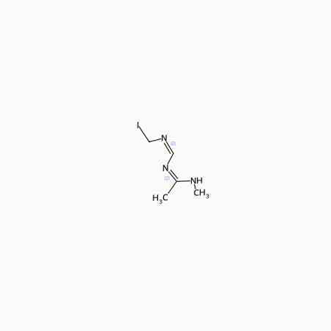 CN/C(C)=N\C=N/CI